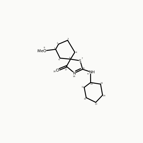 COC1CCCC2(C1)SC(NC1CCCCC1)=NC2=O